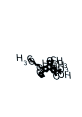 COCCCOc1cc2c(cc1-c1ccco1)-c1cc(=O)c(C(=O)O)cn1[C@H]1[C@@H]2COC1(C)C